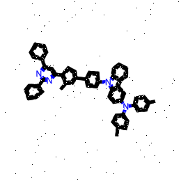 Cc1ccc(N(c2ccc(C)cc2)c2ccc3c(c2)c2ccccc2n3-c2ccc(-c3ccc(-c4cc(-c5ccccc5)nc(-c5ccccc5)n4)c(C)c3)cc2)cc1